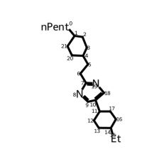 CCCCCC1CCC(CCc2ncc(C3CCC(CC)CC3)cn2)CC1